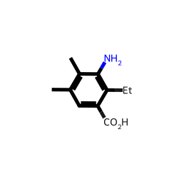 CCc1c(C(=O)O)cc(C)c(C)c1N